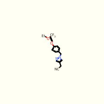 CCO/C(=C\Oc1ccc(Cn2cc(CC#N)cn2)cc1)C(F)(F)F